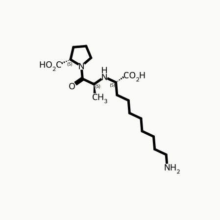 C[C@H](N[C@@H](CCCCCCCCN)C(=O)O)C(=O)N1CCC[C@H]1C(=O)O